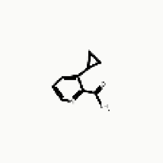 NC(=O)c1ncccc1C1CC1